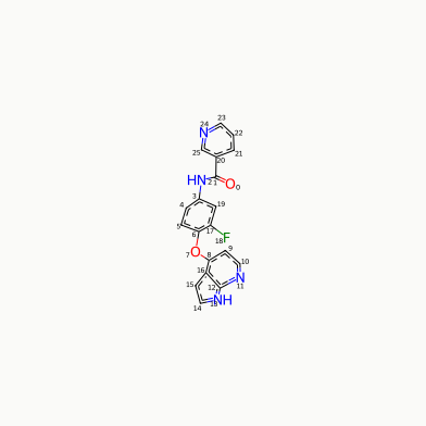 O=C(Nc1ccc(Oc2ccnc3[nH]ccc23)c(F)c1)c1cccnc1